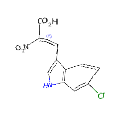 O=C(O)/C(=C/c1c[nH]c2cc(Cl)ccc12)[N+](=O)[O-]